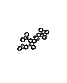 C1=CC2c3ccccc3N(c3cccc(N(c4ccc5c(c4)oc4ccccc45)c4ccccc4-c4ccc5c(c4)Oc4c(ccc6c4-c4ccccc4C64c6ccccc6-c6ccccc64)O5)c3)C2C=C1